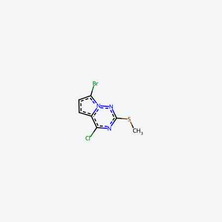 CSc1nc(Cl)c2ccc(Br)n2n1